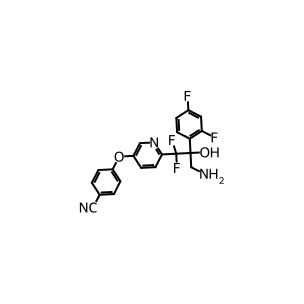 N#Cc1ccc(Oc2ccc(C(F)(F)C(O)(CN)c3ccc(F)cc3F)nc2)cc1